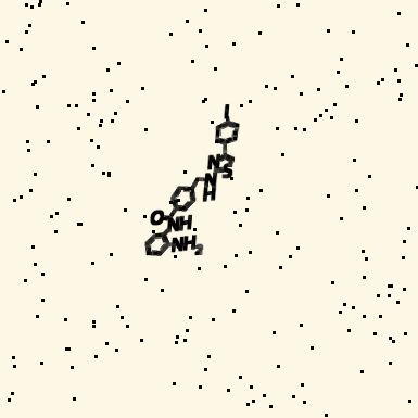 Nc1ccccc1NC(=O)c1ccc(CNc2nc(-c3ccc(I)cc3)cs2)cc1